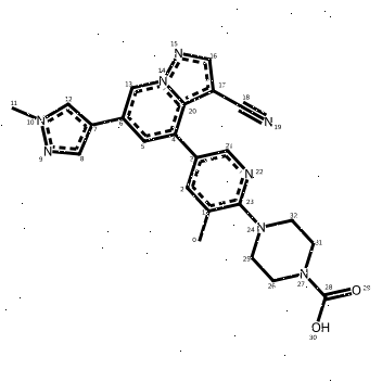 Cc1cc(-c2cc(-c3cnn(C)c3)cn3ncc(C#N)c23)cnc1N1CCN(C(=O)O)CC1